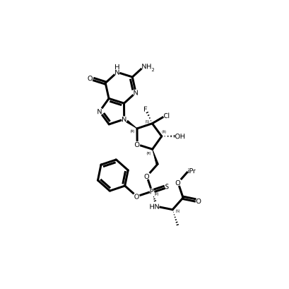 CC(C)OC(=O)[C@H](C)N[P@@](=S)(OC[C@H]1O[C@@H](n2cnc3c(=O)[nH]c(N)nc32)[C@@](F)(Cl)[C@@H]1O)Oc1ccccc1